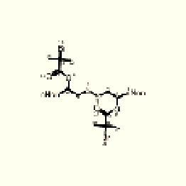 CCCCCCCCCC(CSSCC(CCCCCCCCC)OC(=O)C(C)(C)Br)OC(=O)C(C)(C)Br